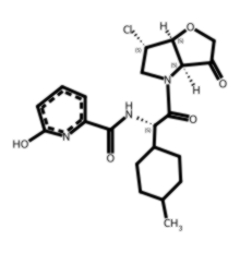 CC1CCC([C@H](NC(=O)c2cccc(O)n2)C(=O)N2C[C@H](Cl)[C@H]3OCC(=O)[C@H]32)CC1